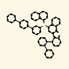 c1ccc(-c2ccc(-c3cccc(N(c4cccc5ccccc45)c4cc5c(oc6cccc(-c7ccccc7-c7ccccc7)c65)c5ccccc45)c3)cc2)cc1